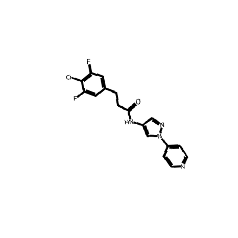 O=C(CCc1cc(F)c(Cl)c(F)c1)Nc1cnn(-c2ccncc2)c1